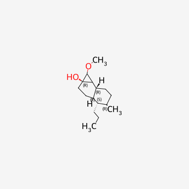 CCC[C@@H]1[C@H]2CC[C@]3(O)C(OC)C3[C@@H]2CC[C@H]1C